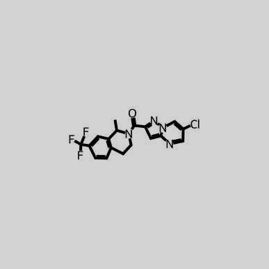 CC1c2cc(C(F)(F)F)ccc2CCN1C(=O)c1cc2ncc(Cl)cn2n1